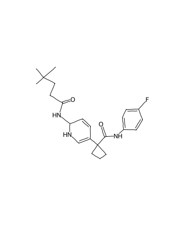 CC(C)(C)CCC(=O)NC1C=CC(C2(C(=O)Nc3ccc(F)cc3)CCC2)=CN1